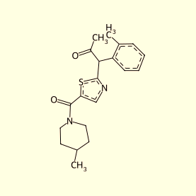 CC(=O)C(c1ncc(C(=O)N2CCC(C)CC2)s1)c1ccccc1C